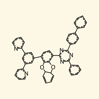 C1=CC2Oc3c(-c4cc(-c5ccccn5)cc(-c5ccccn5)c4)ccc(-c4nc(-c5ccccc5)nc(-c5ccc(-c6ccccc6)cc5)n4)c3OC2C=C1